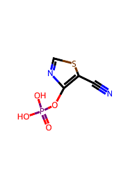 N#Cc1scnc1OP(=O)(O)O